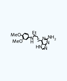 CC[C@H](CSc1nc(N)nc2nc[nH]c12)Nc1ccc(OC)c(OC)c1